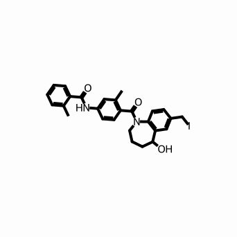 Cc1ccccc1C(=O)Nc1ccc(C(=O)N2CCCC(O)c3cc(CI)ccc32)c(C)c1